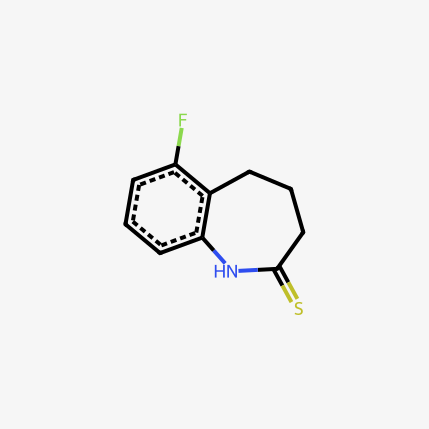 Fc1cccc2c1CCCC(=S)N2